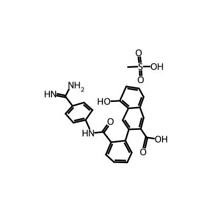 CS(=O)(=O)O.N=C(N)c1ccc(NC(=O)c2ccccc2-c2cc3c(O)cccc3cc2C(=O)O)cc1